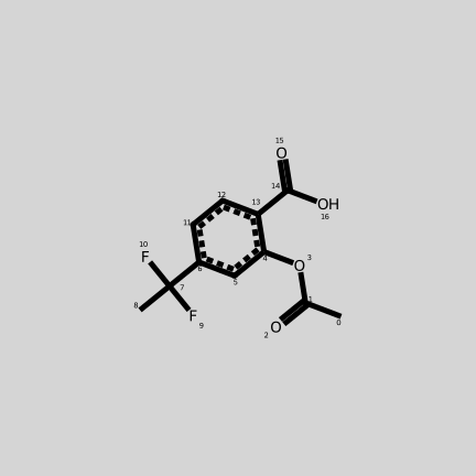 CC(=O)Oc1cc(C(C)(F)F)ccc1C(=O)O